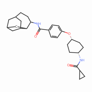 O=C(NC1CCC2CC3CC(C2)C1C3)c1ccc(O[C@H]2CC[C@@H](NC(=O)C3CC3)CC2)cc1